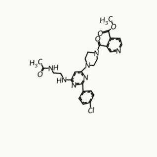 COC(=O)c1ccncc1C(=O)N1CCN(c2cc(NCCNC(C)=O)nc(-c3ccc(Cl)cc3)n2)CC1